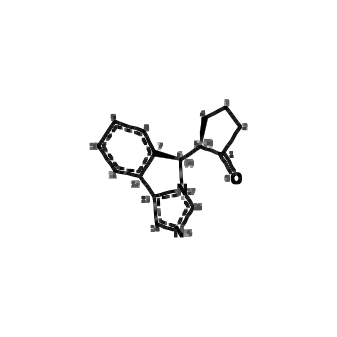 O=C1CCC[C@@H]1[C@@H]1c2ccccc2-c2cncn21